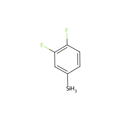 Fc1ccc([SiH3])cc1F